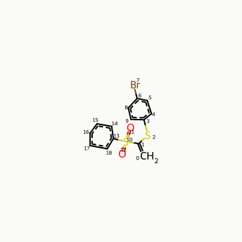 C=C(Sc1ccc(Br)cc1)S(=O)(=O)c1ccccc1